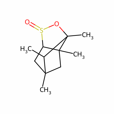 CC1C2(C)CC3S(=O)OC1(C)C3(C)C2